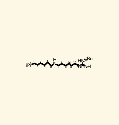 CC(C)CCCCCCNCCCCCCNC(=N)NC(C)(C)C